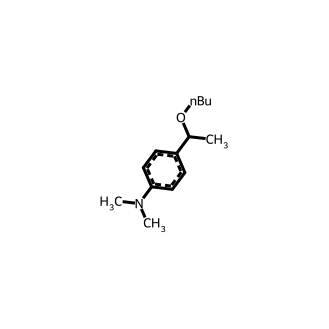 CCCCOC(C)c1ccc(N(C)C)cc1